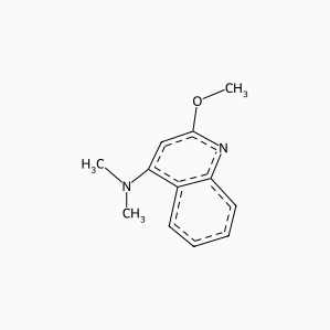 COc1cc(N(C)C)c2ccccc2n1